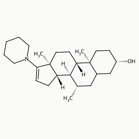 C[C@H]1CC2C[C@@H](O)CC[C@]2(C)[C@H]2CC[C@]3(C)C(N4CCCCC4)=CC[C@H]3[C@H]12